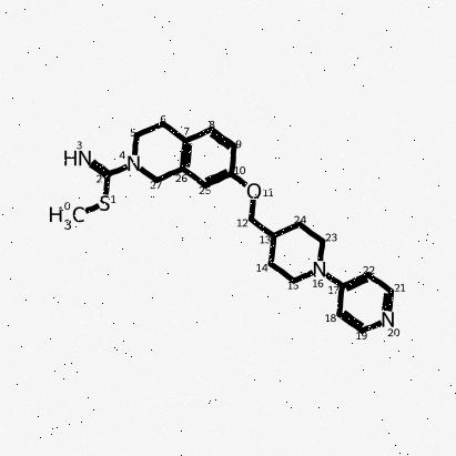 CSC(=N)N1CCc2ccc(OCC3CCN(c4ccncc4)CC3)cc2C1